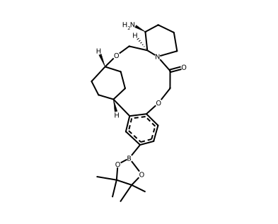 CC1(C)OB(c2ccc3c(c2)[C@H]2CC[C@H](CC2)OC[C@H]2[C@@H](N)CCCN2C(=O)CO3)OC1(C)C